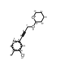 Cc1cnc(C#CCOC2CCCCO2)cc1Cl